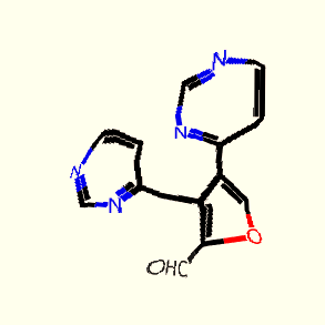 O=Cc1occ(-c2ccncn2)c1-c1ccncn1